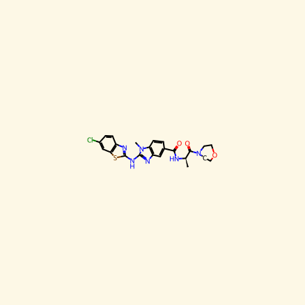 C[C@@H](NC(=O)c1ccc2c(c1)nc(Nc1nc3ccc(Cl)cc3s1)n2C)C(=O)N1CCOCC1